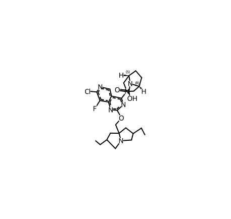 CCC1CN2CC(CC)CC2(COc2nc(N3C[C@H]4CC[C@@H](C3)N4C(=O)O)c3cnc(Cl)c(F)c3n2)C1